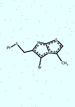 Cc1csc2nc(CSC(C)C)c(Br)n12